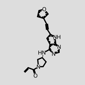 C=CC(=O)N1CC[C@@H](Nc2ncnc3[nH]c(C#Cc4ccoc4)cc23)C1